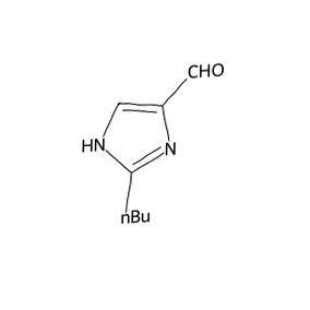 CCCCc1nc(C=O)c[nH]1